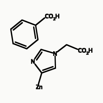 O=C(O)Cn1cn[c]([Zn])c1.O=C(O)c1ccccc1